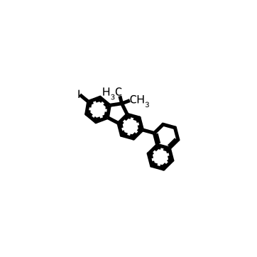 CC1(C)c2cc(I)ccc2-c2ccc(C3=c4ccccc4=CCC3)cc21